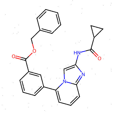 O=C(OCc1ccccc1)c1cccc(-c2cccc3nc(NC(=O)C4CC4)cn23)c1